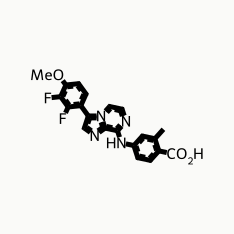 COc1ccc(-c2cnc3c(Nc4ccc(C(=O)O)c(C)c4)nccn23)c(F)c1F